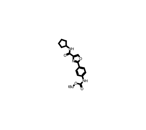 CC(C)(C)OC(=O)Nc1ccc(-c2nc(C(=O)NC3CCCC3)co2)cc1